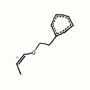 C/C=C\OCCc1ccccc1